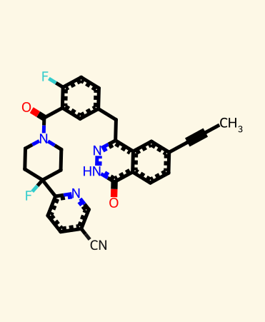 CC#Cc1ccc2c(=O)[nH]nc(Cc3ccc(F)c(C(=O)N4CCC(F)(c5ccc(C#N)cn5)CC4)c3)c2c1